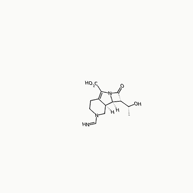 C[C@@H](O)[C@H]1C(=O)N2C(C(=O)O)=C3CCN(C=N)C[C@@H]3[C@H]12